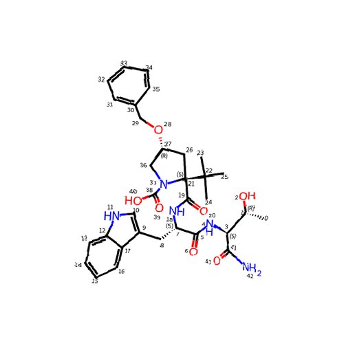 C[C@@H](O)[C@H](NC(=O)[C@H](Cc1c[nH]c2ccccc12)NC(=O)[C@@]1(C(C)(C)C)C[C@@H](OCc2ccccc2)CN1C(=O)O)C(N)=O